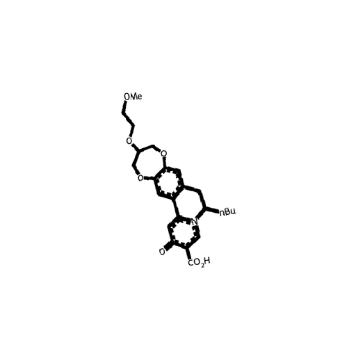 CCCCC1Cc2cc3c(cc2-c2cc(=O)c(C(=O)O)cn21)OCC(OCCOC)CO3